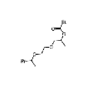 CCC(=O)OC(C)COCCOC(C)C(C)C